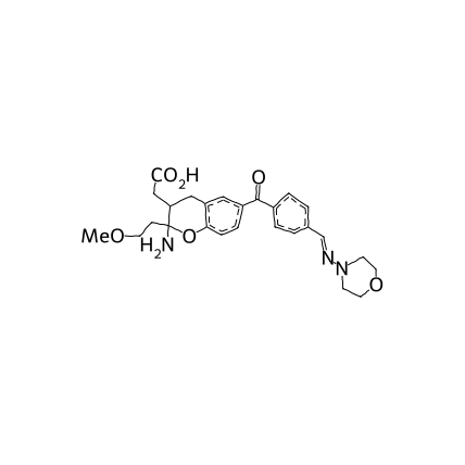 COCCC1(N)Oc2ccc(C(=O)c3ccc(C=NN4CCOCC4)cc3)cc2CC1CC(=O)O